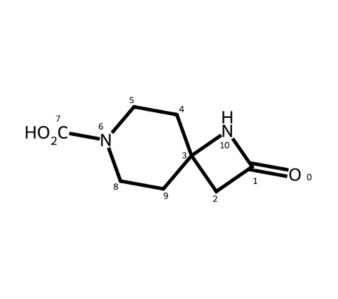 O=C1CC2(CCN(C(=O)O)CC2)N1